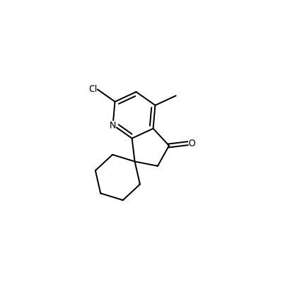 Cc1cc(Cl)nc2c1C(=O)CC21CCCCC1